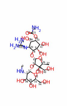 CN[C@@H]1[C@H](O[C@H]2[C@H](O[C@@H]3[C@H](O)[C@@H](O)[C@@H](OC(N)=O)[C@@H](O)[C@@H]3N=C(N)N)O[C@@H](C)[C@]2(O)CO)O[C@@H](CO)[C@H](O)[C@H]1O